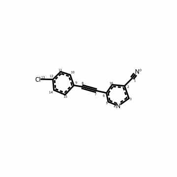 N#Cc1cncc(C#Cc2ccc(Cl)cc2)c1